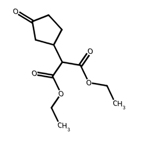 CCOC(=O)C(C(=O)OCC)C1CCC(=O)C1